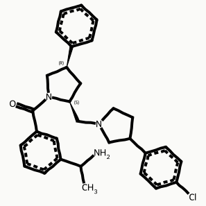 CC(N)c1cccc(C(=O)N2C[C@@H](c3ccccc3)C[C@H]2CN2CCC(c3ccc(Cl)cc3)C2)c1